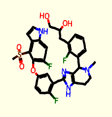 CN1CCc2[nH]c(-c3cc(Oc4c(F)cc5[nH]ccc5c4S(C)(=O)=O)ccc3F)nc2C1c1cccc(CC(O)CO)c1F